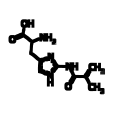 C=C(C)C(=O)Nc1nc(CC(N)C(=O)O)c[nH]1